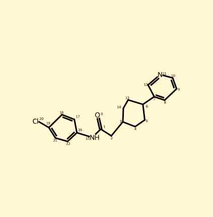 O=C(CC1CCC(c2cccnc2)CC1)Nc1ccc(Cl)cc1